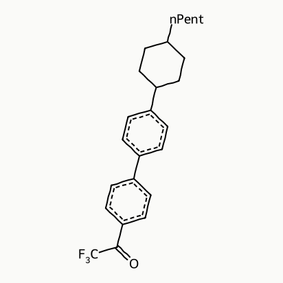 CCCCCC1CCC(c2ccc(-c3ccc(C(=O)C(F)(F)F)cc3)cc2)CC1